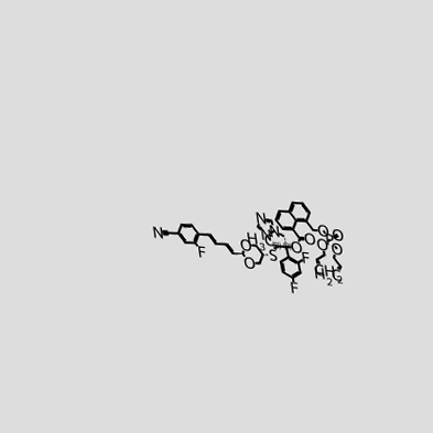 C=CCOP(=O)(OCC=C)OCc1cccc2cccc(C(=O)O[C@@](Cn3cncn3)(c3ccc(F)cc3F)[C@@H](C)S[C@H]3CO[C@H](C=CC=Cc4ccc(C#N)cc4F)OC3)c12